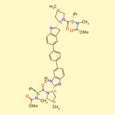 COC(=O)N(C)[C@H](C(=O)N1C[C@@H](C)C[C@H]1C1=Nc2ccc(-c3ccc(-c4ccc5nc([C@@H]6C[C@H](C)CN6C(=O)[C@H](C(C)C)N(C)C(=O)OC)n(C)c5c4)cc3)cc2C1)C(C)C